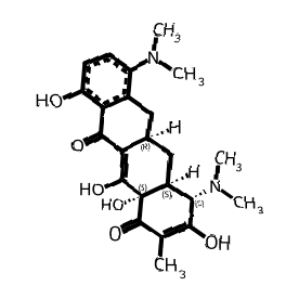 CC1=C(O)[C@@H](N(C)C)[C@@H]2C[C@@H]3Cc4c(N(C)C)ccc(O)c4C(=O)C3=C(O)[C@]2(O)C1=O